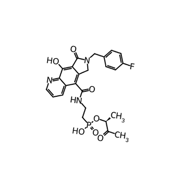 CC(=O)[C@H](C)OP(=O)(O)CCNC(=O)c1c2c(c(O)c3ncccc13)C(=O)N(Cc1ccc(F)cc1)C2